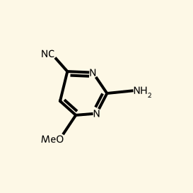 COc1cc(C#N)nc(N)n1